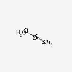 CSCCCCCCSC(=O)CCCCCCCCC(C)=O